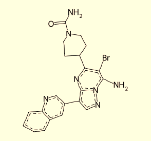 NC(=O)N1CCC(c2nc3c(-c4cnc5ccccc5c4)cnn3c(N)c2Br)CC1